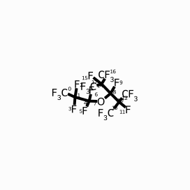 FC(F)(F)C(F)(F)C(F)(F)OC(F)(C(F)(C(F)(F)F)C(F)(F)F)C(F)(C(F)(F)F)C(F)(F)F